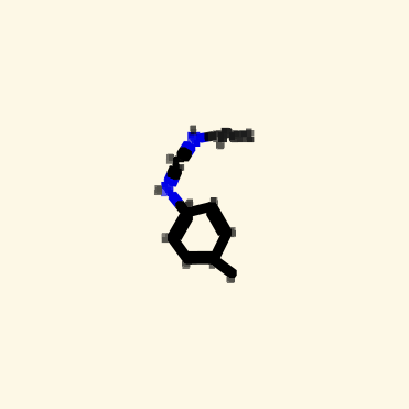 CCCCCN=C=Nc1ccc(C)cc1